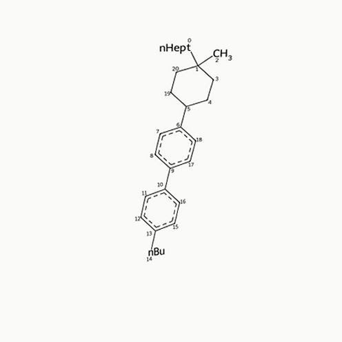 CCCCCCCC1(C)CCC(c2ccc(-c3ccc(CCCC)cc3)cc2)CC1